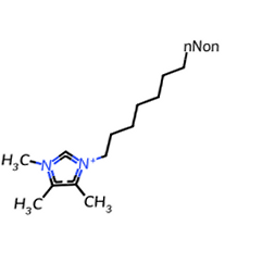 CCCCCCCCCCCCCCCC[n+]1cn(C)c(C)c1C